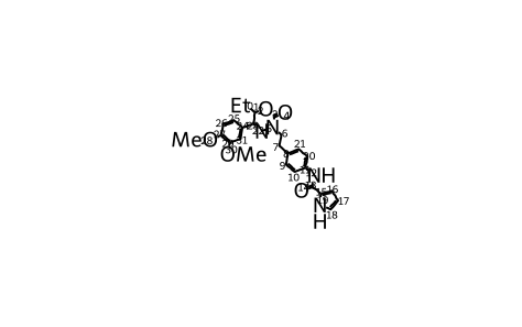 CCC1OC(=O)N(CCc2ccc(NC(=O)c3ccc[nH]3)cc2)N=C1c1ccc(OC)c(OC)c1